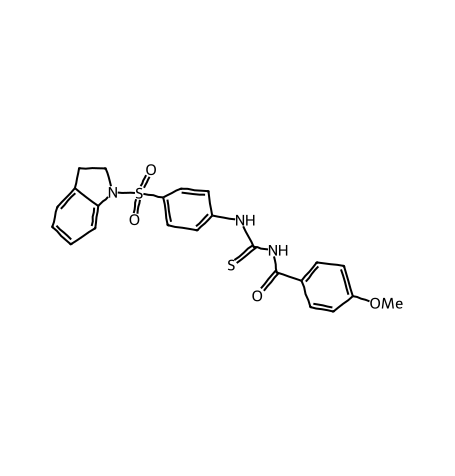 COc1ccc(C(=O)NC(=S)Nc2ccc(S(=O)(=O)N3CCc4ccccc43)cc2)cc1